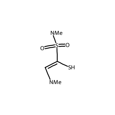 CN/C=C(\S)S(=O)(=O)NC